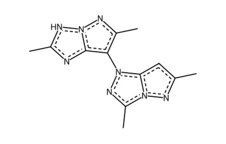 Cc1cc2n(-c3c(C)nn4[nH]c(C)nc34)nc(C)n2n1